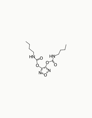 CCCCNC(=O)Oc1nonc1OC(=O)NCCCC